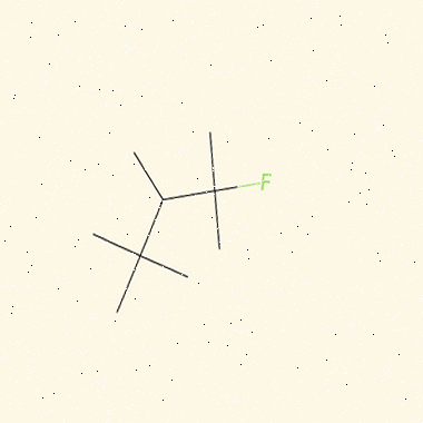 CC(C(C)(C)C)C(C)(C)F